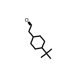 CC(C)(C)C1CCC(CC=O)CC1